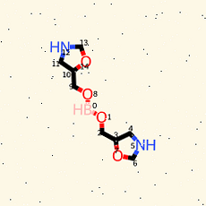 B(OCC1CNCO1)OCC1CNCO1